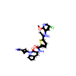 COc1ncc(Cl)cc1NC(C)c1ccc(C(=O)NC(CC2CCCC2)C(=O)NC23CC(C#N)(C2)C3)s1